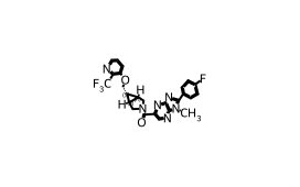 Cn1c(-c2ccc(F)cc2)nc2nc(C(=O)N3C[C@@H]4[C@H](COc5cccnc5C(F)(F)F)[C@@H]4C3)cnc21